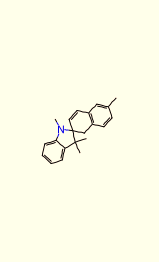 Cc1ccc2c(c1)C=CC1(C2)N(C)c2ccccc2C1(C)C